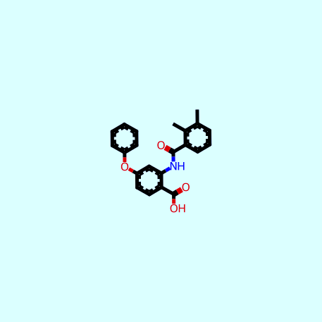 Cc1cccc(C(=O)Nc2cc(Oc3ccccc3)ccc2C(=O)O)c1C